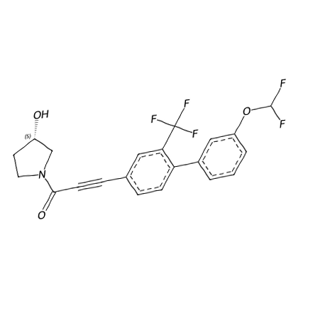 O=C(C#Cc1ccc(-c2cccc(OC(F)F)c2)c(C(F)(F)F)c1)N1CC[C@H](O)C1